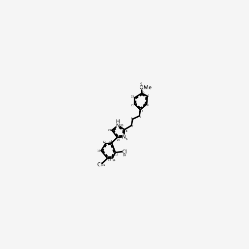 COc1ccc(CCCc2nc(-c3ccc(Cl)cc3Cl)c[nH]2)cc1